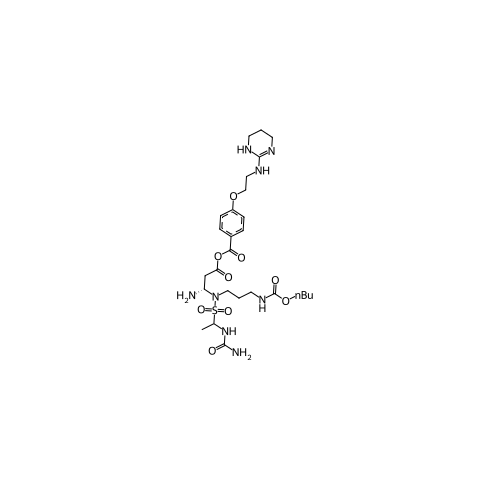 CCCCOC(=O)NCCCN([C@H](N)CC(=O)OC(=O)c1ccc(OCCNC2=NCCCN2)cc1)S(=O)(=O)C(C)NC(N)=O